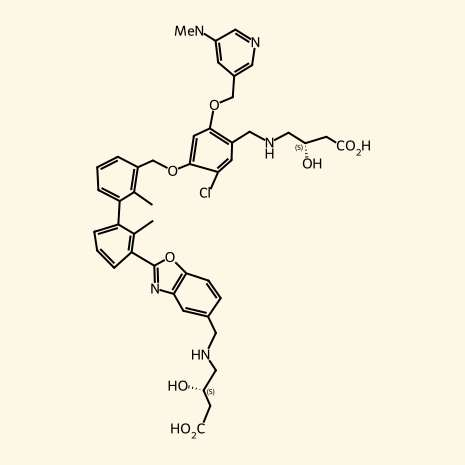 CNc1cncc(COc2cc(OCc3cccc(-c4cccc(-c5nc6cc(CNC[C@@H](O)CC(=O)O)ccc6o5)c4C)c3C)c(Cl)cc2CNC[C@@H](O)CC(=O)O)c1